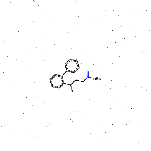 CCCCNCCC(C)c1ccccc1-c1ccccc1